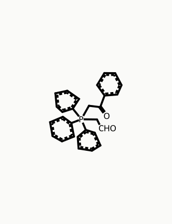 O=CCP(CC(=O)c1ccccc1)(c1ccccc1)(c1ccccc1)c1ccccc1